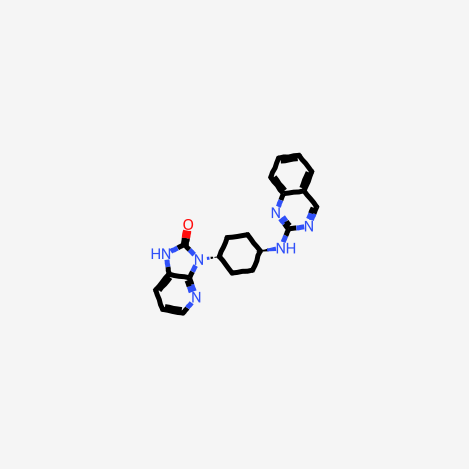 O=c1[nH]c2cccnc2n1[C@H]1CC[C@H](Nc2ncc3ccccc3n2)CC1